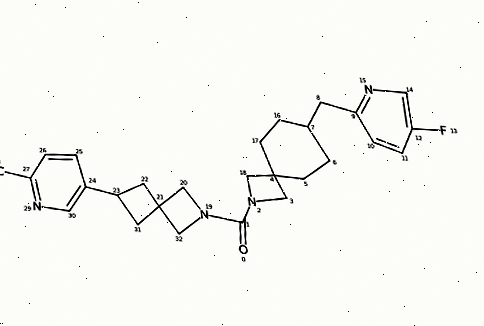 O=C(N1CC2(CCC(Cc3ccc(F)cn3)CC2)C1)N1CC2(CC(c3ccc(C(F)(F)F)nc3)C2)C1